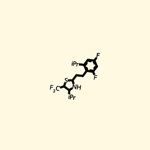 CC(C)c1cc(F)cc(F)c1CCC1NC(C(C)C)C(C(F)(F)F)S1